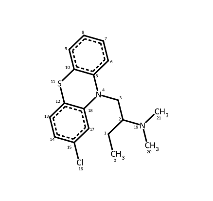 CCC(CN1c2ccccc2Sc2ccc(Cl)cc21)N(C)C